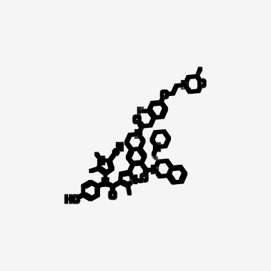 Cc1c(N(C(=O)c2cc(-c3cc4c(cc3C(=O)N3Cc5ccccc5C[C@H]3CN3CCCCC3)CN(C(=O)Cc3ccc(OCCN5CCO[C@H](C)C5)cc3F)CC4)n(C)c2C)c2ccc(O)cc2)cc(C#N)n1C